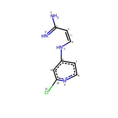 N=C(N)/C=C\Nc1ccnc(Cl)c1